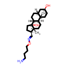 C[C@]12CC[C@H](O)C[C@H]1CC[C@@H]1[C@@H]2CC[C@]2(C)[C@@H](C=NOCCCCN)CC[C@]12O